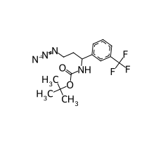 CC(C)(C)OC(=O)NC(CCN=[N+]=[N-])c1cccc(C(F)(F)F)c1